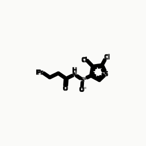 CC(C)CCC(=O)N[S+]([O-])c1csc(Cl)c1Cl